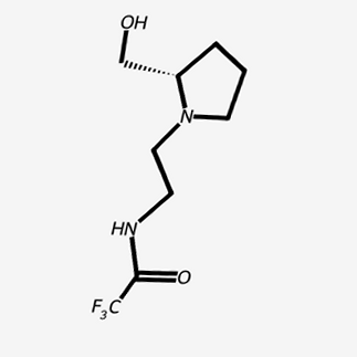 O=C(NCCN1CCC[C@H]1CO)C(F)(F)F